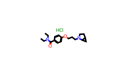 CCN(CC)C(=O)c1ccc(OCCCN2CCC3CC32)cc1.Cl